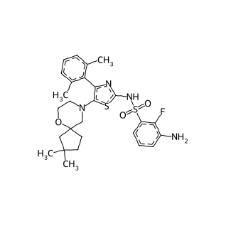 Cc1cccc(C)c1-c1nc(NS(=O)(=O)c2cccc(N)c2F)sc1N1CCOC2(CCC(C)(C)C2)C1